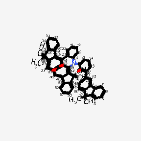 CC1(C)c2ccccc2-c2cc(-c3cccc(N(c4ccccc4-c4cccc5c4-c4ccccc4C5(C)C)c4cccc5c4C(C)(C)c4ccccc4-5)c3)ccc21